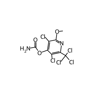 COc1nc(C(Cl)(Cl)Cl)c(Cl)c(OC(N)=O)c1Cl